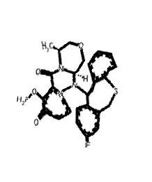 C[C@H]1COC[C@@H]2N1C(=O)c1c(OP)c(=O)ccn1N2C1c2ccc(F)cc2CSc2ccccc21